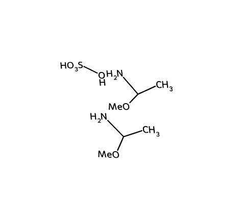 COC(C)N.COC(C)N.O=S(=O)(O)O